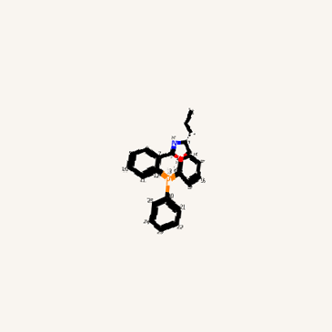 CCC[C@@H]1COC(c2ccccc2P(c2ccccc2)c2ccccc2)=N1